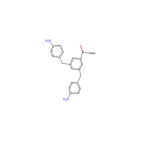 COC(=O)c1cc(Cc2ccc(N)cc2)cc(Cc2ccc(N)cc2)c1